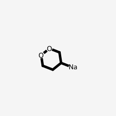 [Na][CH]1CCOOC1